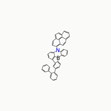 c1ccc(-c2ccccc2-c2ccc3c(c2)-c2cccc4c2B3c2ccccc2N4c2ccc3ccc4cccc5ccc2c3c45)cc1